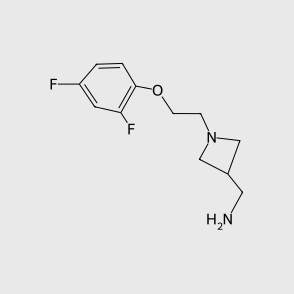 NCC1CN(CCOc2ccc(F)cc2F)C1